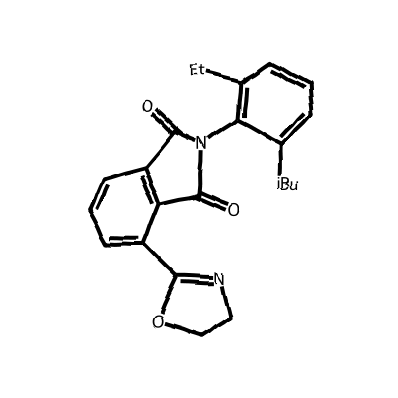 CCc1cccc(C(C)CC)c1N1C(=O)c2cccc(C3=NCCO3)c2C1=O